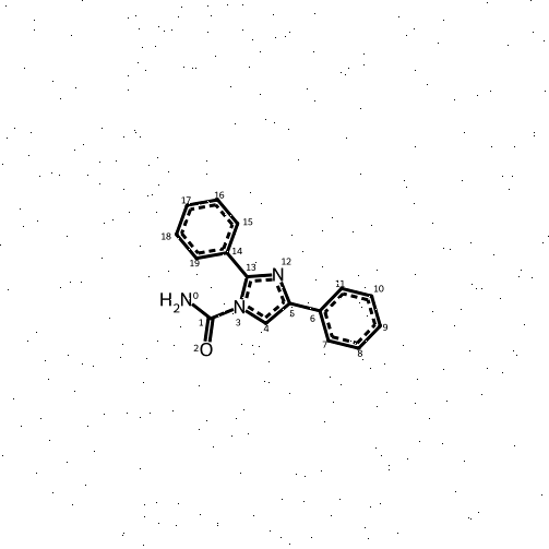 NC(=O)n1cc(-c2ccccc2)nc1-c1ccccc1